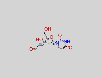 O=C/C=C/[C@]1(O)C[C@H](n2ccc(=O)[nH]c2=O)O[C@@H]1CO